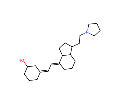 OC1CCC/C(=C/C=C2\CCCC3C(CCN4CCCC4)CCC23)C1